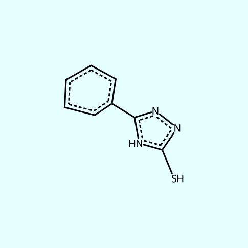 Sc1nnc(-c2ccccc2)[nH]1